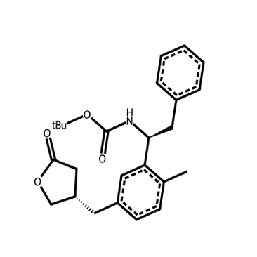 Cc1ccc(C[C@@H]2COC(=O)C2)cc1[C@H](Cc1ccccc1)NC(=O)OC(C)(C)C